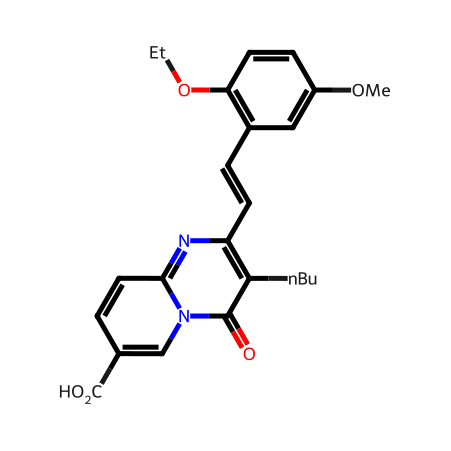 CCCCc1c(C=Cc2cc(OC)ccc2OCC)nc2ccc(C(=O)O)cn2c1=O